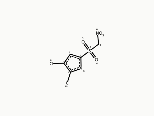 O=[N+]([O-])CS(=O)(=O)c1cc(Cl)c(Cl)s1